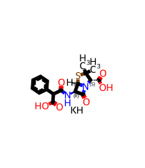 CC1(C)S[C@@H]2[C@H](NC(=O)C(C(=O)O)c3ccccc3)C(=O)N2[C@H]1C(=O)O.[KH]